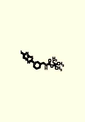 CC(C)(C)OC(=O)NCC1CCCN(c2nn3cc(I)nc3s2)C1